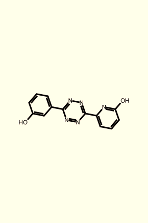 Oc1cccc(-c2nnc(-c3cccc(O)n3)nn2)c1